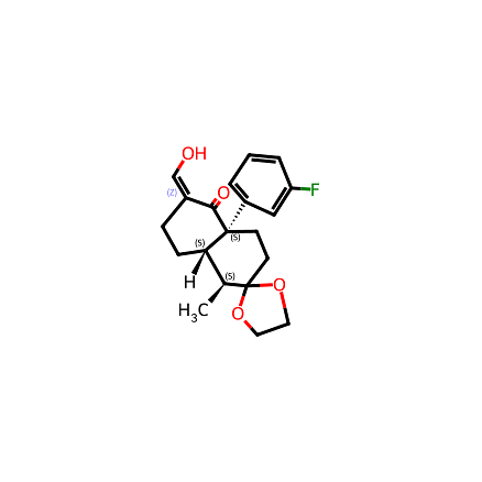 C[C@H]1[C@@H]2CC/C(=C/O)C(=O)[C@@]2(c2cccc(F)c2)CCC12OCCO2